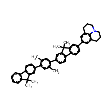 Cc1cc(-c2ccc3c(c2)C(C)(C)c2cc(-c4cc5c6c(c4)CCCN6CCC5)ccc2-3)c(C)cc1-c1ccc2c(c1)C(C)(C)c1ccccc1-2